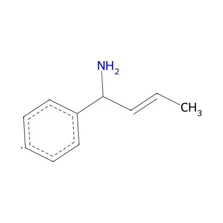 CC=CC(N)c1cc[c]cc1